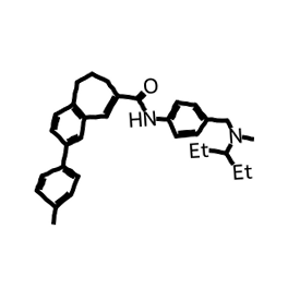 CCC(CC)N(C)Cc1ccc(NC(=O)C2=Cc3cc(-c4ccc(C)cc4)ccc3CCC2)cc1